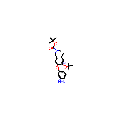 CC/C=C(/OC(C)(C)C)C(CCCN(C)C(=O)OC(C)(C)C)Oc1cccc(N)c1